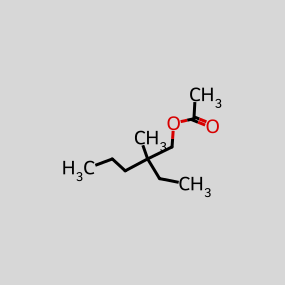 CCCC(C)(CC)COC(C)=O